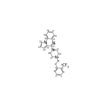 FC(F)(F)c1ccccc1CCN1CCN(c2nc3ccccc3n3cccc23)CC1